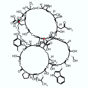 CC(C)C[C@@H]1N=C(O)[C@@H]2CCCN2C(=O)CN=C(O)[C@H](Cc2ccc(O)cc2)N=C(O)[C@@H]2CNCCCC[C@@H](C(=O)O)N=C(O)[C@@H]3N=C(O)[C@H](CC(N)=O)N=C(O)CN=C(O)[C@H]([C@@H](O)C(=O)O)N=C(O)[C@@H]4CSC[C@@H](N=C(O)[C@H](CC(N)=O)N=C(O)[C@H](C)N=C(O)[C@@H](N)CS[C@H]3C)C(O)=N[C@@H](CS[C@@H](C)[C@@H](N=C1O)C(O)=N[C@@H](Cc1c[nH]c3ccccc13)C(O)=N[C@@H](CO)C(O)=N4)C(O)=N2